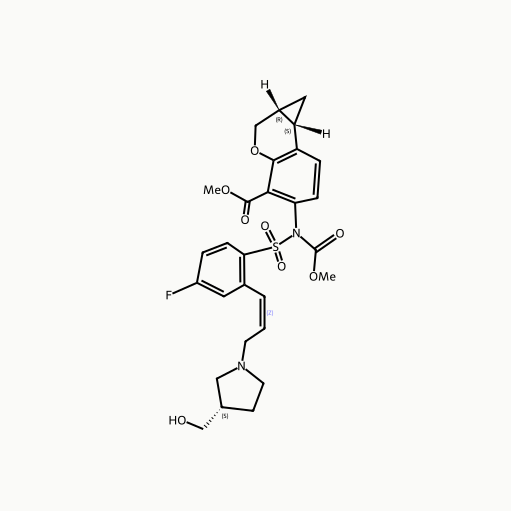 COC(=O)c1c(N(C(=O)OC)S(=O)(=O)c2ccc(F)cc2/C=C\CN2CC[C@H](CO)C2)ccc2c1OC[C@@H]1C[C@H]21